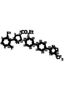 CCOC(=O)[C@H]1CC(c2c(F)cccc2F)=N[C@H]1c1ccc(-c2ccc(-c3noc(C(F)(F)F)n3)cc2)cc1